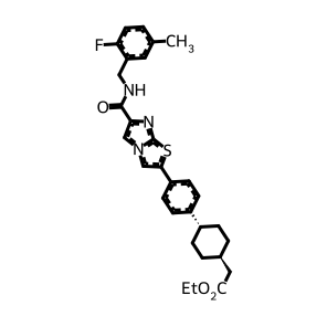 CCOC(=O)C[C@H]1CC[C@H](c2ccc(-c3cn4cc(C(=O)NCc5cc(C)ccc5F)nc4s3)cc2)CC1